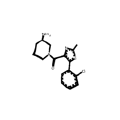 Cc1nc(C(=O)N2CCCC(N)C2)c(-c2ccccc2Cl)s1